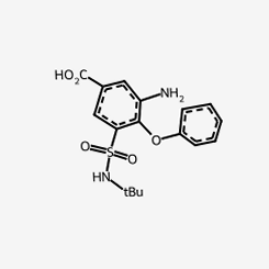 CC(C)(C)NS(=O)(=O)c1cc(C(=O)O)cc(N)c1Oc1ccccc1